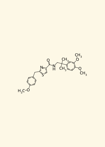 COc1ccc(Cc2nc(C(=O)NCC(C)(C)c3ccc(OC)c(OC)c3)cs2)cc1